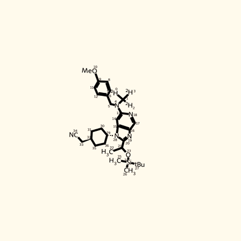 [2H]C([2H])([2H])N(Cc1ccc(OC)cc1)c1cc2c(cn1)nc(C(C)O[Si](C)(C)C(C)(C)C)n2[C@H]1CC[C@H](CC#N)CC1